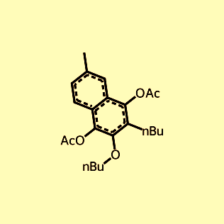 CCCCOc1c(CCCC)c(OC(C)=O)c2cc(C)ccc2c1OC(C)=O